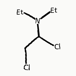 CCN(CC)C(Cl)CCl